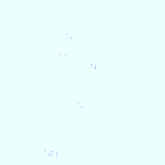 NC(=O)CN1CCN(c2ccccc2[N+](=O)[O-])CC1